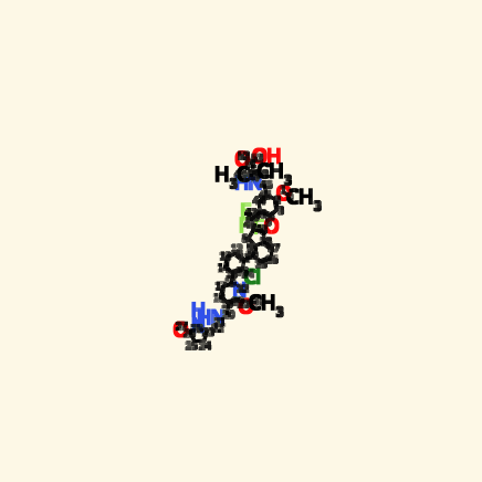 COc1cc(O[C@H]2CCc3c(-c4cccc(-c5ccc(CNC[C@@H]6CCC(=O)N6)c(OC)n5)c4Cl)cccc32)c(C(F)(F)F)cc1CNC(C)(C)C(=O)O